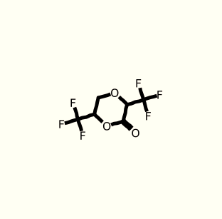 O=C1OC(C(F)(F)F)COC1C(F)(F)F